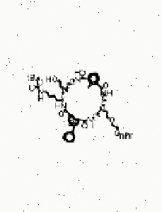 CCCOCCOCCN1CCNC(=O)c2cccc(c2C)C(=O)NCCN(CCO)CC(CCCCNC(=O)OC(C)(C)C)NC(=O)c2cccc(c2OCc2ccccc2)C(=O)NCC1